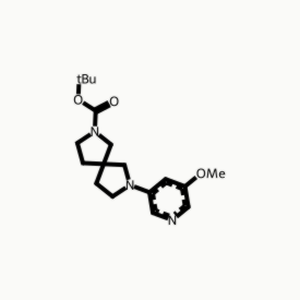 COc1cncc(N2CCC3(CCN(C(=O)OC(C)(C)C)C3)C2)c1